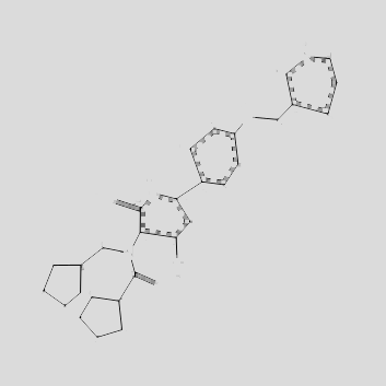 O=C(C1CCCC1)N(CC1CCCC1)c1c(O)cc(-c2ccc(OCc3cccnc3)cc2)oc1=O